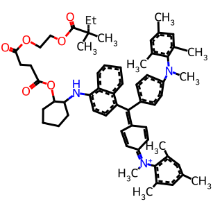 CCC(C)(C)C(=O)OCCOC(=O)CCC(=O)OC1CCCCC1Nc1ccc(C(=C2C=CC(=[N+](C)c3c(C)cc(C)cc3C)C=C2)c2ccc(N(C)c3c(C)cc(C)cc3C)cc2)c2ccccc12